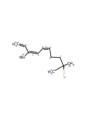 C=C/C(=C\C=C/CCC(C)(C)F)C(C)(C)C